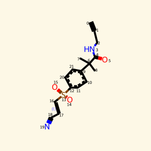 C#CCNC(=O)C(C)(C)c1ccc(S(=O)(=O)/C=C/C#N)cc1